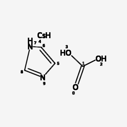 O=C(O)O.[CsH].c1c[nH]cn1